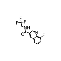 O=C(NCC(F)(F)F)c1cnc2c(F)cccc2c1